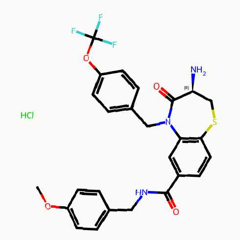 COc1ccc(CNC(=O)c2ccc3c(c2)N(Cc2ccc(OC(F)(F)F)cc2)C(=O)[C@@H](N)CS3)cc1.Cl